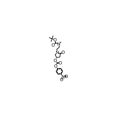 CN(CCN1C[C@@H](OC(=O)Oc2ccc([N+](=O)[O-])cc2)CC1=O)C(=O)OC(C)(C)C